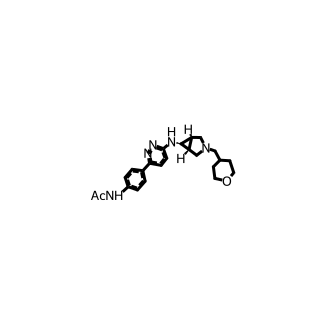 CC(=O)Nc1ccc(-c2ccc(N[C@@H]3[C@@H]4CN(CC5CCOCC5)C[C@@H]43)nn2)cc1